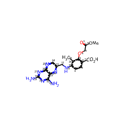 COC(=O)COc1c(C(=O)O)ccc(NCc2cnc3nc(N)nc(N)c3n2)c1C